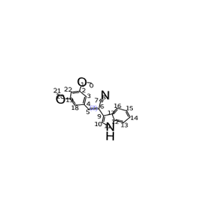 COc1cc(/C=C(\C#N)c2c[nH]c3ccccc23)cc(OC)c1